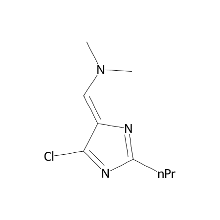 CCCC1=NC(=CN(C)C)C(Cl)=N1